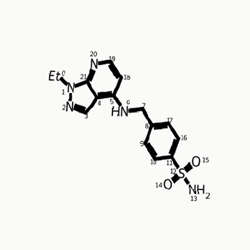 CCn1ncc2c(NCc3ccc(S(N)(=O)=O)cc3)ccnc21